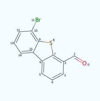 O=Cc1cccc2c1sc1c(Br)cccc12